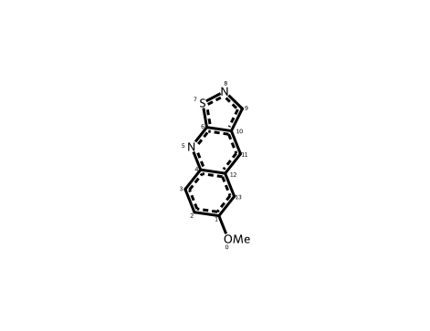 COc1ccc2nc3sncc3cc2c1